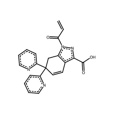 C=CC(=O)n1nc(C(=O)O)c2c1CC(c1ccccn1)(c1ccccn1)C=C2